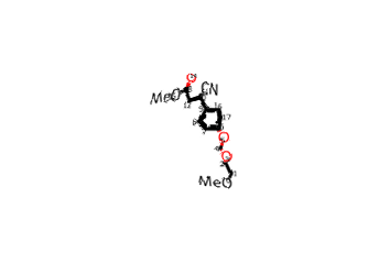 COCCOCOc1ccc(C(C#N)CC(=O)OC)cc1